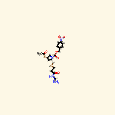 CC(=O)S[C@@H]1C[C@@H](CSCCC(=O)NCN)N(C(=O)OCc2ccc([N+](=O)[O-])cc2)C1